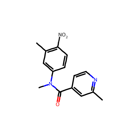 Cc1cc(C(=O)N(C)c2ccc([N+](=O)[O-])c(C)c2)ccn1